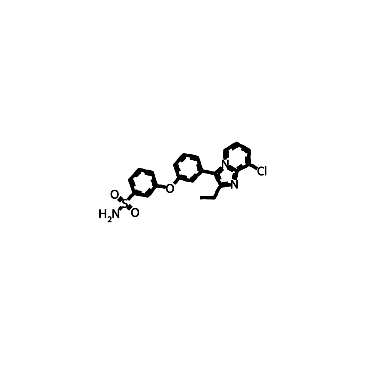 CCc1nc2c(Cl)cccn2c1-c1cccc(Oc2cccc(S(N)(=O)=O)c2)c1